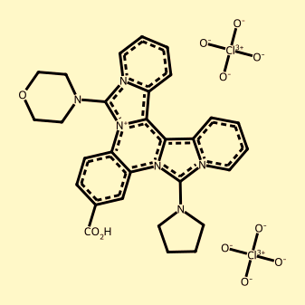 O=C(O)c1ccc2c(c1)n1c(N3CCCC3)[n+]3ccccc3c1c1c3ccccn3c(N3CCOCC3)[n+]21.[O-][Cl+3]([O-])([O-])[O-].[O-][Cl+3]([O-])([O-])[O-]